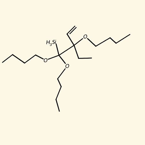 C=CC(CC)(OCCCC)C([SiH3])(OCCCC)OCCCC